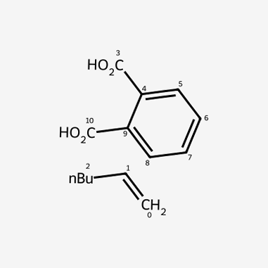 C=CCCCC.O=C(O)c1ccccc1C(=O)O